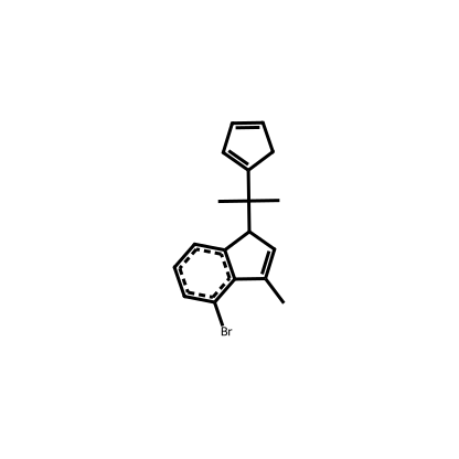 CC1=CC(C(C)(C)C2=CC=CC2)c2cccc(Br)c21